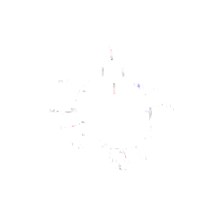 C=C1/C=C\C=C(/C)C(=O)NC2=CC(=O)C=C(C[C@@H](C)C[C@H](OC)[C@H](O)[C@@H](C)/C=C(\C)[C@@H]1OC=O)C2=O